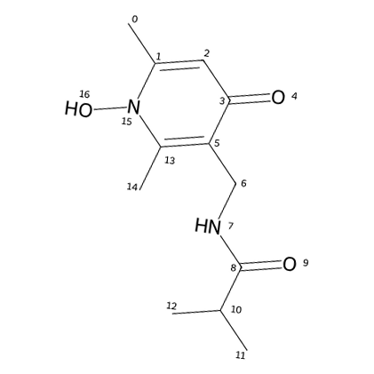 Cc1cc(=O)c(CNC(=O)C(C)C)c(C)n1O